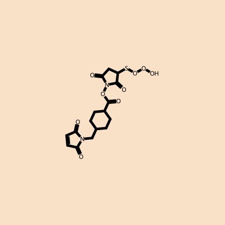 O=C(ON1C(=O)CC(SOOO)C1=O)C1CCC(CN2C(=O)C=CC2=O)CC1